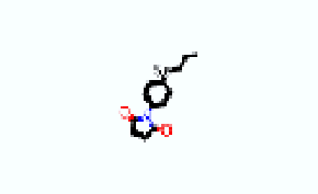 CCC[Se]c1ccc(N2C(=O)C=CC2=O)cc1